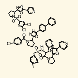 Cc1ccc(CS(=O)(=O)NC(Cc2ccccc2)C(=O)N2CCCC2c2nnc(-c3ccncc3)o2)cc1.O=C(c1ccc(Cl)cc1)N1CCCC1c1nnc(-c2ccc(-c3ccccc3)cc2)o1.O=S(=O)(c1cc(Cl)c(Cl)s1)N1CCCC1c1nnc(-c2ccncc2)o1